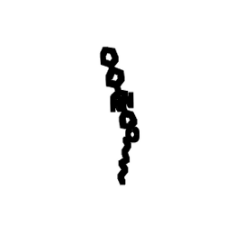 CCCCCCCCOc1ccc(-c2ncc(-c3ccc(C4CCCCC4)cc3)cn2)cc1